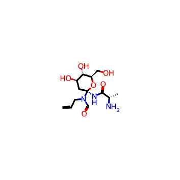 C=CCN(C=O)[C@@]1(NC(=O)[C@H](C)N)C[C@@H](O)[C@H](O)[C@@H](CO)O1